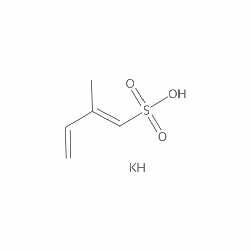 C=CC(C)=CS(=O)(=O)O.[KH]